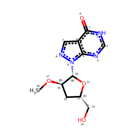 O=c1[nH]cnc2c1cnn2[C@@H]1O[C@H](CO)C[C@H]1O[SiH3]